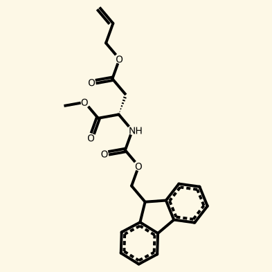 C=CCOC(=O)C[C@H](NC(=O)OCC1c2ccccc2-c2ccccc21)C(=O)OC